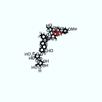 COc1ccc(/C=C/C(=O)OC2C(C)OC(OC(=O)C34CCC(C)(C)CC3C3=CCC5[C@@]6(C)CC[C@H](OC7OC(C(=O)O)C(O)C(O)C7OC7OC(CO)C(O)C(O)C7O)[C@@](C)(C=O)C6CC[C@@]5(C)[C@]3(C)C[C@H]4O)C(OC3OC(C)C(O)C(O)C3OC3OCC(O)C(O)C3O)C2O)cc1